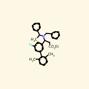 CCOC(=O)CC(c1cc(F)cc(-c2c(C)cccc2C)c1)N(Cc1ccccc1)C(C)c1ccccc1